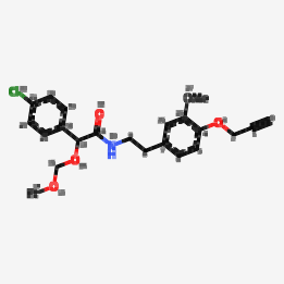 C#CCOc1ccc(CCNC(=O)C(OCOCC)c2ccc(Cl)cc2)cc1OC